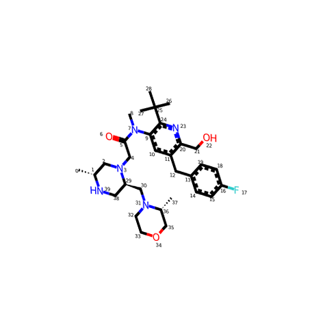 C[C@@H]1CN(CC(=O)N(C)c2cc(Cc3ccc(F)cc3)c(CO)nc2C(C)(C)C)[C@@H](CN2CCOC[C@H]2C)CN1